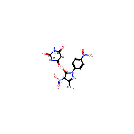 CC1=NN(c2ccc([N+](=O)[O-])cc2)C(=O)C1[N+](=O)[O-].O=C1CC(=O)NC(=O)N1